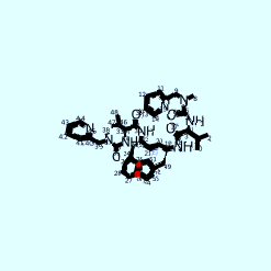 CC(C)[C@H](NC(=O)N(C)Cc1ccccn1)C(=O)N[C@H](/C=C/[C@H](Cc1ccccc1)NC(=O)[C@@H](NC(=O)N(C)Cc1ccccn1)C(C)C)Cc1ccccc1